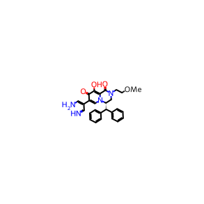 COCCN1C[C@H](C(c2ccccc2)c2ccccc2)n2cc(/C(C=N)=C/N)c(=O)c(O)c2C1=O